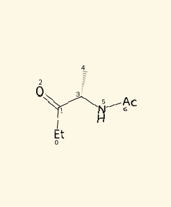 CCC(=O)[C@H](C)NC(C)=O